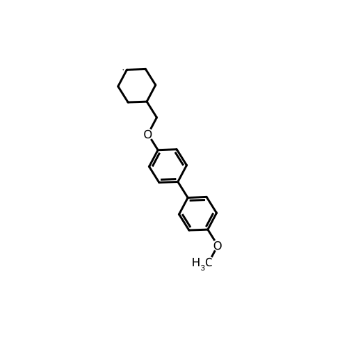 COc1ccc(-c2ccc(OCC3CC[CH]CC3)cc2)cc1